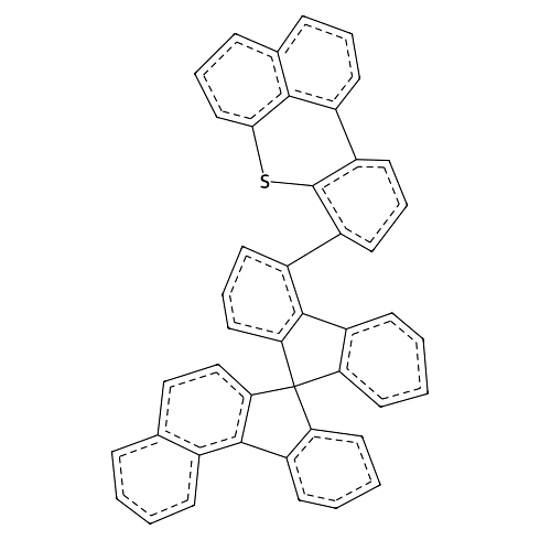 c1ccc2c(c1)-c1c(-c3cccc4c3Sc3cccc5cccc-4c35)cccc1C21c2ccccc2-c2c1ccc1ccccc21